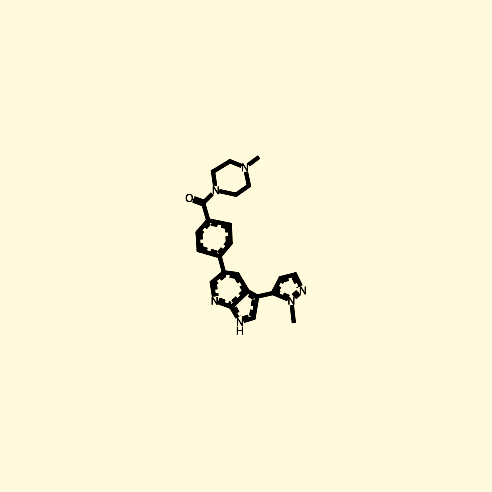 CN1CCN(C(=O)c2ccc(-c3cnc4[nH]cc(-c5ccnn5C)c4c3)cc2)CC1